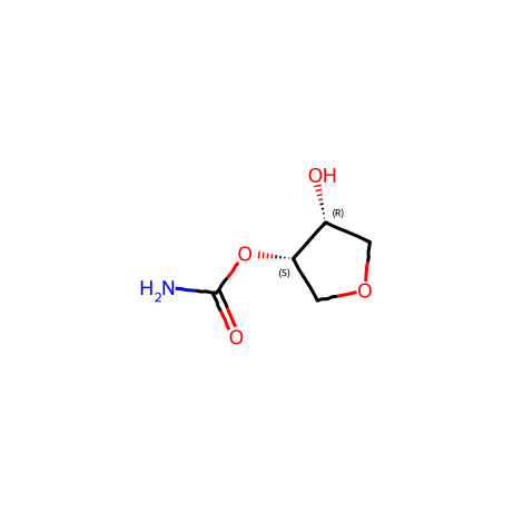 NC(=O)O[C@H]1COC[C@H]1O